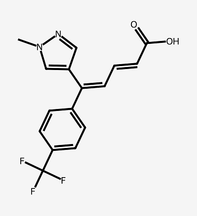 Cn1cc(C(=CC=CC(=O)O)c2ccc(C(F)(F)F)cc2)cn1